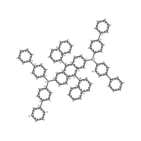 c1ccc(-c2ccc(N(c3ccc(-c4ccccc4)cc3)c3ccc4c(-c5cccc6ccccc56)c5cc(N(c6ccc(-c7ccccc7)cc6)c6ccc(-c7ccccc7)cc6)ccc5c(-c5cccc6ccccc56)c4c3)cc2)cc1